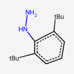 CC(C)(C)c1cccc(C(C)(C)C)c1NN